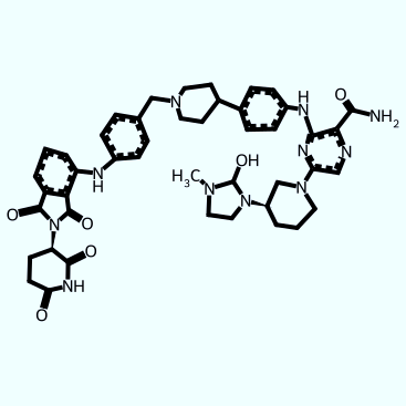 CN1CCN([C@@H]2CCCN(c3cnc(C(N)=O)c(Nc4ccc(C5CCN(Cc6ccc(Nc7cccc8c7C(=O)N([C@@H]7CCC(=O)NC7=O)C8=O)cc6)CC5)cc4)n3)C2)C1O